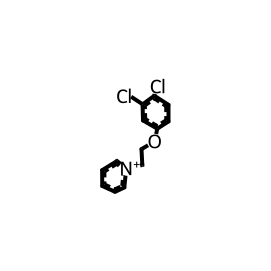 Clc1ccc(OCC[n+]2ccccc2)cc1Cl